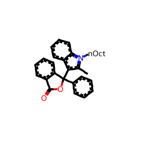 CCCCCCCCn1c(C)c(C2(c3ccccc3)OC(=O)c3ccccc32)c2ccccc21